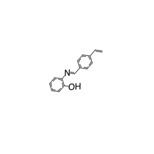 C=Cc1ccc(C=Nc2ccccc2O)cc1